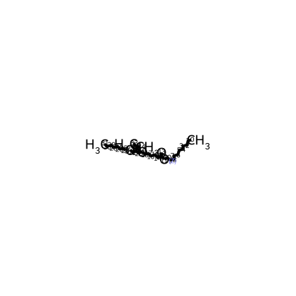 CCCCCCCC/C=C\COC(=O)CCCCCOCC(COCCCCCCCC)N(C)C